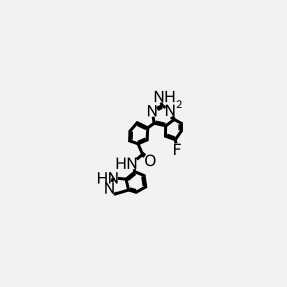 Nc1nc(-c2cccc(C(=O)Nc3cccc4cn[nH]c34)c2)c2cc(F)ccc2n1